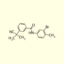 Cc1ccc(NC(=O)c2cccc(C(C)(C)C#N)c2)cc1Br